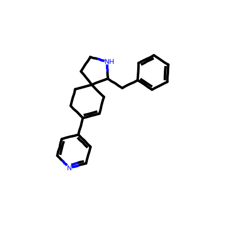 C1=C(c2ccncc2)CCC2(C1)CCNC2Cc1ccccc1